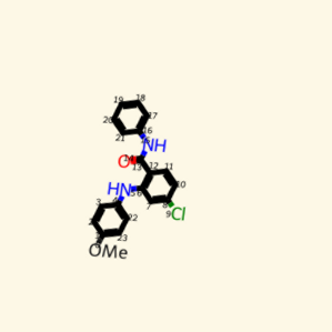 COc1ccc(Nc2cc(Cl)ccc2C(=O)Nc2ccccc2)cc1